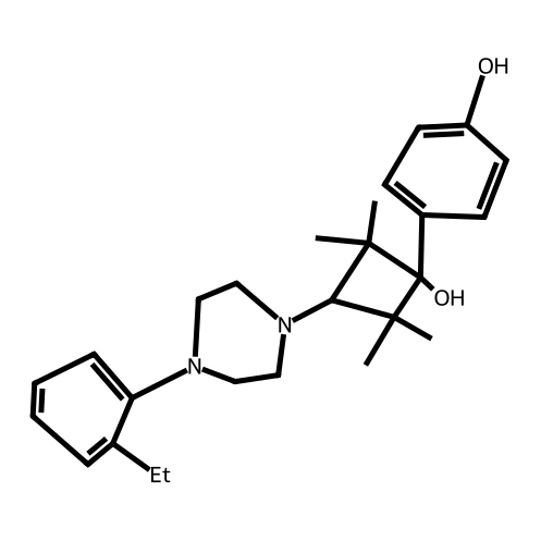 CCc1ccccc1N1CCN(C2C(C)(C)C(O)(c3ccc(O)cc3)C2(C)C)CC1